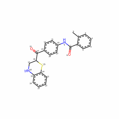 Cc1ccccc1C(=O)Nc1ccc(C(=O)C2CNc3ccccc3S2)cc1